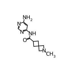 CN1CC2(CC(C(=O)Nc3cc(N)ncn3)C2)C1